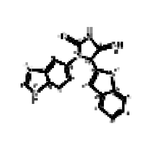 N=C1NC(=O)N(C2=CCC3NC=NC3=C2)C1c1cc2ccccc2s1